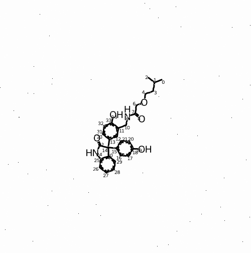 CC(C)CCOCC(=O)NCc1cc(C2(c3ccc(O)cc3)C(=O)Nc3ccccc32)ccc1O